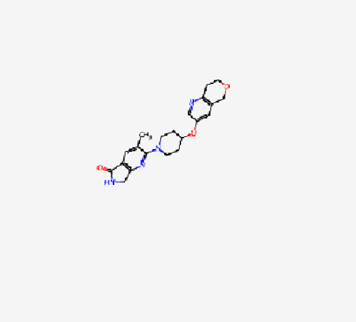 Cc1cc2c(nc1N1CCC(Oc3cnc4c(c3)COCC4)CC1)CNC2=O